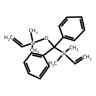 C=C[Si](C)(C)OC(c1ccccc1)(c1ccccc1)[Si](C)(C)C=C